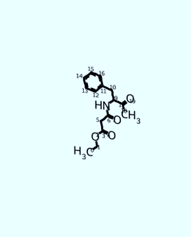 CCOC(=O)CC(=O)NC(Cc1ccccc1)C(C)=O